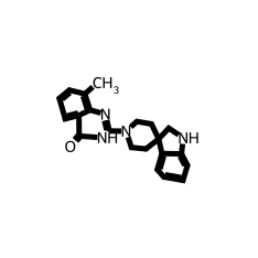 Cc1cccc2c(=O)[nH]c(N3CCC4(CC3)CNc3ccccc34)nc12